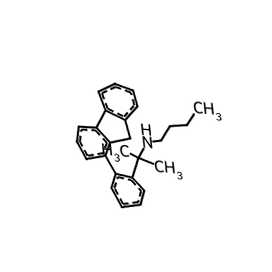 CCCCNC(C)(C)c1ccccc1-c1cccc2c1Cc1ccccc1-2